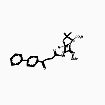 CON=C1[C@@H](NC(=O)CCC(=O)c2ccc(-c3ccccc3)cc2)[C@H]2SC(C)(C)[C@H](C(=O)O)N12